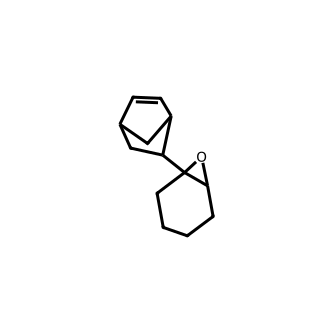 C1=CC2CC1CC2C12CCCCC1O2